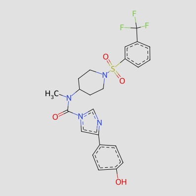 CN(C(=O)n1cnc(-c2ccc(O)cc2)c1)C1CCN(S(=O)(=O)c2cccc(C(F)(F)F)c2)CC1